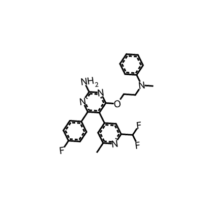 Cc1cc(-c2c(OCCN(C)c3ccccc3)nc(N)nc2-c2ccc(F)cc2)cc(C(F)F)n1